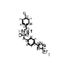 CCOP(=O)(Cc1ccc(-c2noc(C(F)(F)F)n2)cc1)NCc1ccc(C)cc1